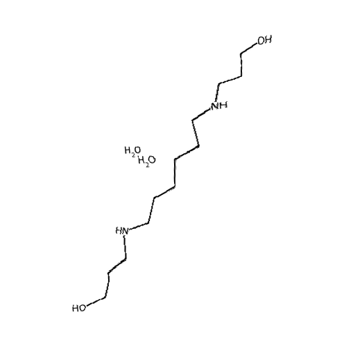 O.O.OCCCNCCCCCCNCCCO